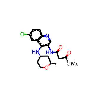 COC(=O)CC(=O)Nc1cnc2ccc(Cl)cc2c1N[C@@H]1CCO[C@H](C)C1